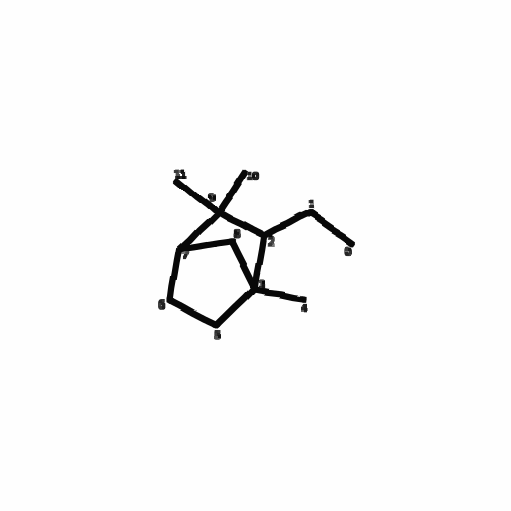 CC[C]1C2(C)CCC(C2)C1(C)C